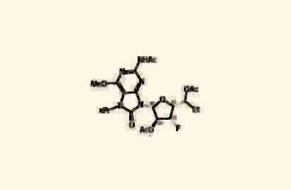 CCCn1c(=O)n([C@@H]2O[C@H](C(CC)OC(C)=O)[C@H](F)[C@H]2OC(C)=O)c2nc(NC(C)=O)nc(OC)c21